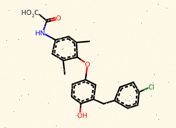 Cc1cc(NC(=O)C(=O)O)cc(C)c1Oc1ccc(O)c(Cc2ccc(Cl)cc2)c1